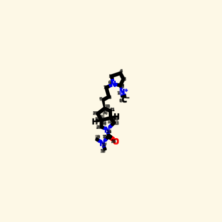 [C-]#[N+][C@@H]1CCCN1CCC[C@H]1C[C@@H]2CN(C(=O)N(C)C)C[C@@H]2C1